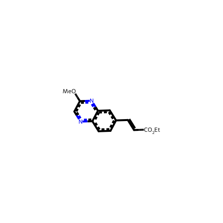 CCOC(=O)/C=C/c1ccc2ncc(OC)nc2c1